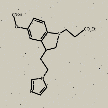 CCCCCCCCCOc1ccc2c(c1)C(CCn1ccnc1)CN2CCC(=O)OCC